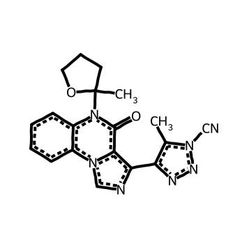 Cc1c(-c2ncn3c2c(=O)n(C2(C)CCCO2)c2ccccc23)nnn1C#N